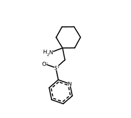 NC1(C[S+]([O-])c2ccccn2)CCCCC1